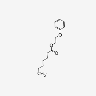 [CH2]CCCCCC(=O)OCCOc1ccccc1